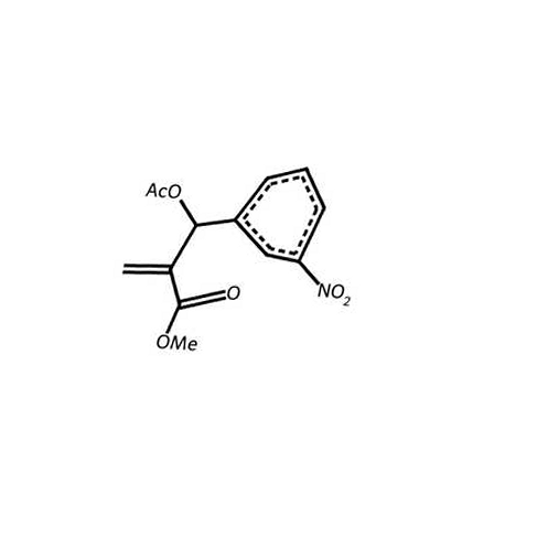 C=C(C(=O)OC)C(OC(C)=O)c1cccc([N+](=O)[O-])c1